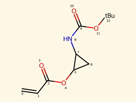 C=CC(=O)OC1CC1NC(=O)OC(C)(C)C